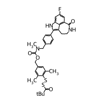 Cc1cc(COC(=O)N(C)Cc2ccc(-c3[nH]c4cc(F)cc5c4c3CCNC5=O)cc2)cc(C)c1SSC(=O)C(C)(C)C